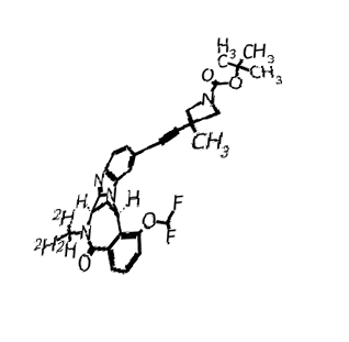 [2H]C([2H])([2H])N1C(=O)c2cccc(OC(F)F)c2[C@H]2C[C@@H]1c1nc3ccc(C#CC4(C)CN(C(=O)OC(C)(C)C)C4)cc3n12